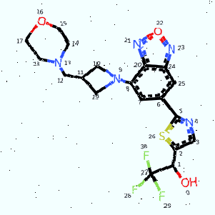 OC(c1cnc(-c2cc(N3CC(CN4CCOCC4)C3)c3nonc3c2)s1)C(F)(F)F